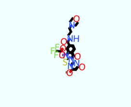 COc1cc(OC)nc(-n2c(=O)c3ccc(C(=O)NCCCN4CCOCC4)cc3n(OC(=O)C(F)(F)F)c2=S)n1